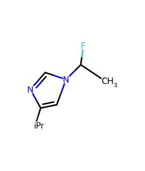 CC(C)c1cn(C(C)F)cn1